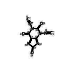 [C-]#[N+]n1c(=O)c2c(n([N+]#[C-])c1=O)=NC(=O)N=2